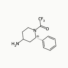 NC1CCN(C(=O)C(F)(F)F)[C@H](c2ccccc2)C1